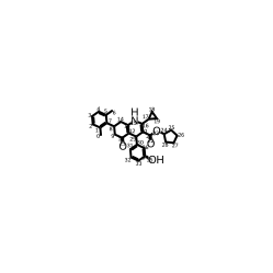 Cc1cccc(C)c1C1CC(=O)C2=C(C1)NC(C1CC1)=C(C(=O)OC1CCCC1)C2c1cccc(O)c1